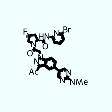 CNc1ncc(-c2ccc3c(c2)c(C(C)=O)nn3CC(=O)N2C[C@H](F)C[C@H]2C(=O)Nc2cccc(Br)n2)cn1